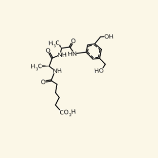 C[C@H](NC(=O)CCCCC(=O)O)C(=O)N[C@@H](C)C(=O)Nc1cc(CO)cc(CO)c1